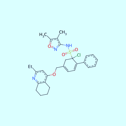 CCc1cc(OCC2=CC=C(c3ccccc3)C(Cl)(S(=O)(=O)Nc3noc(C)c3C)C2)c2c(n1)CCCC2